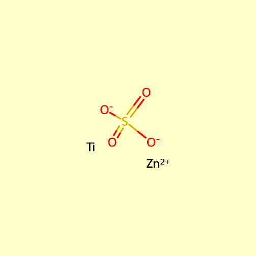 O=S(=O)([O-])[O-].[Ti].[Zn+2]